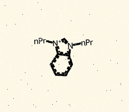 CCCn1c[n+](CCC)c2ccccc21